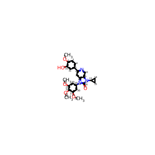 COc1ccc(-c2cc3c(cn2)n(C2CC2)c(=O)n3-c2cc(OC)c(OC)c(OC)c2)cc1O